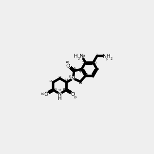 NCc1ccc2c(c1N)C(=O)N(C1CCC(=O)NC1=O)C2